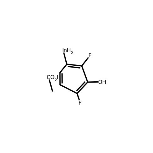 CC(=O)O.Oc1c(F)cc[c]([InH2])c1F